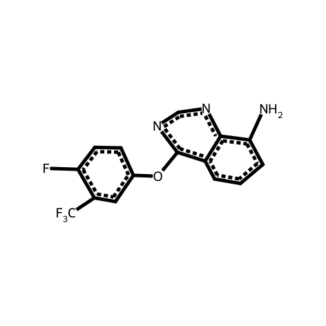 Nc1cccc2c(Oc3ccc(F)c(C(F)(F)F)c3)ncnc12